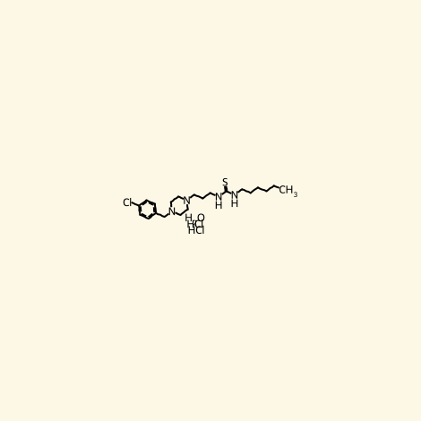 CCCCCCNC(=S)NCCCN1CCN(Cc2ccc(Cl)cc2)CC1.Cl.Cl.O